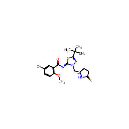 COc1ccc(Cl)cc1C(=O)N=c1sc(C(C)(C)C)nn1C[C@H]1CCC(=S)N1